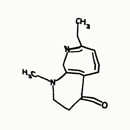 Cc1ccc2c(n1)N(C)CCC2=O